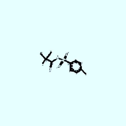 Cc1ccc(S(=O)(=O)OC(=O)C(C)(C)C)cc1